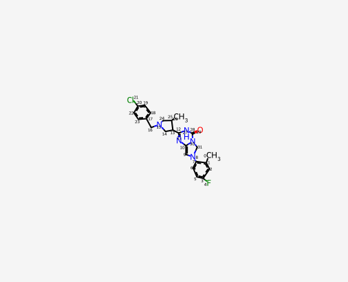 Cc1cc(F)ccc1N1C=C2N=C(C3CN(Cc4ccc(Cl)cc4)CC3C)NC(=O)N2C1